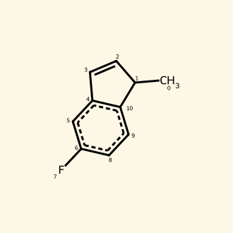 CC1C=Cc2cc(F)ccc21